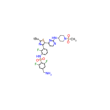 CC(C)(C)c1nc(-c2cccc(NS(=O)(=O)c3c(F)cc(CN)cc3F)c2F)c(-c2ccnc(NC3CCN(S(C)(=O)=O)CC3)n2)s1